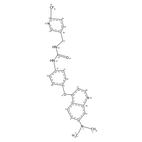 CN(C)c1ccc2c(Oc3ccc(NC(=O)NCc4ccc(C(F)(F)F)nc4)cc3)ccnc2c1